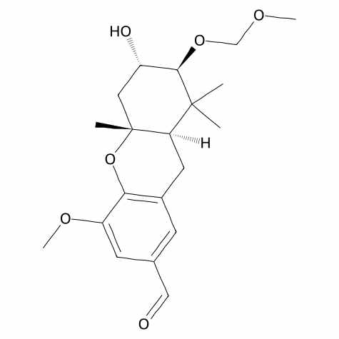 COCO[C@@H]1[C@@H](O)C[C@@]2(C)Oc3c(cc(C=O)cc3OC)C[C@@H]2C1(C)C